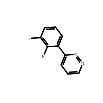 Fc1cccc(-c2cccnn2)c1F